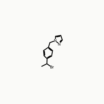 CC(Br)c1ccc(Cn2cccn2)cc1